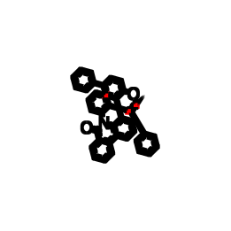 O=c1c2ccccc2c2cccc3c2n1-c1ccccc1C31c2cc(-c3ccccc3)ccc2Oc2ccc(-c3ccccc3)cc21